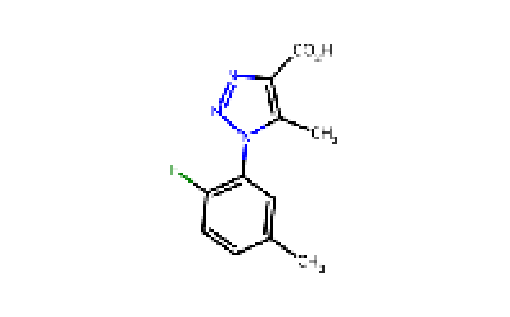 Cc1ccc(F)c(-n2nnc(C(=O)O)c2C)c1